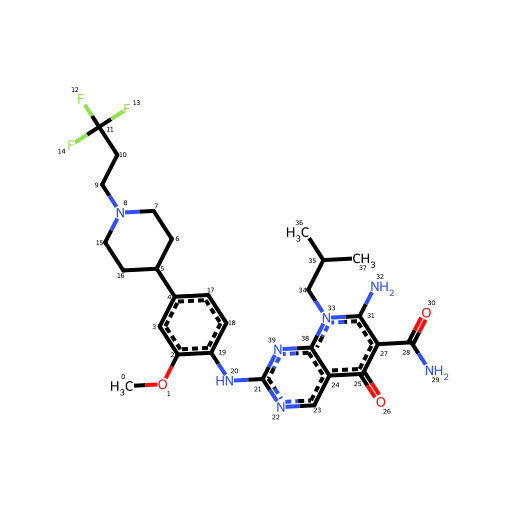 COc1cc(C2CCN(CCC(F)(F)F)CC2)ccc1Nc1ncc2c(=O)c(C(N)=O)c(N)n(CC(C)C)c2n1